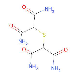 NC(=O)C(SC(C(N)=O)C(N)=O)C(N)=O